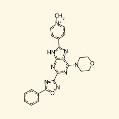 C[n+]1ccc(-c2nc3c(N4CCOCC4)nc(-c4noc(-c5ccccc5)n4)nc3[nH]2)cc1